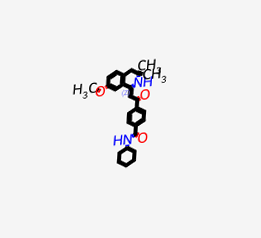 COc1ccc2c(c1)/C(=C/C(=O)c1ccc(C(=O)NC3CCCCC3)cc1)NC(C)(C)C2